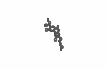 CCOC(=O)c1cn2c(cc1=O)-c1cc(Cl)c(OCCCOC)cc1CN2C